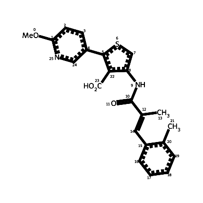 COc1ccc(-c2scc(NC(=O)/C(C)=C/c3ccccc3C)c2C(=O)O)cn1